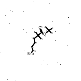 CC(C)(C)OC(=O)C(C)(C)CCCCBr